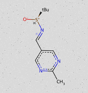 Cc1ncc(/C=N/[S@@+]([O-])C(C)(C)C)cn1